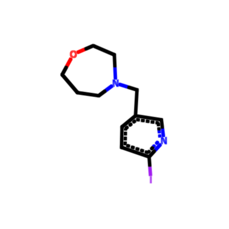 Ic1ccc(CN2CCCOCC2)cn1